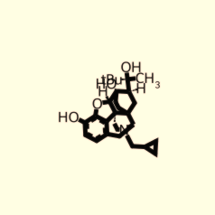 CC(C)(C)[C@@](C)(O)[C@H]1CC23CC[C@@]1(O)[C@H]1Oc4c(O)ccc5c4[C@@]12CCN(CC1CC1)C3C5